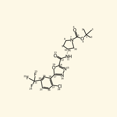 CC(C)(C)OC(=O)N1CC[C@@H](NC(=O)c2nnc(-c3cc(C(F)(F)F)ccc3Cl)o2)C1